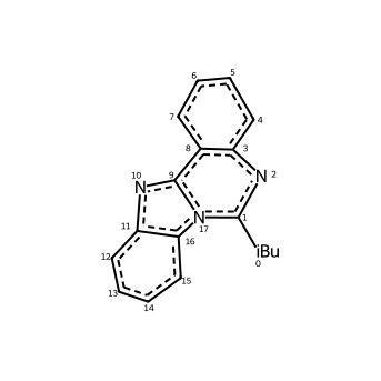 CCC(C)c1nc2ccccc2c2nc3ccccc3n12